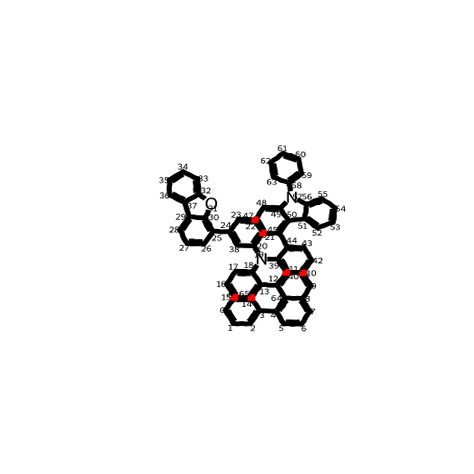 c1ccc(-c2cccc3cccc(-c4ccccc4N(c4cccc(-c5cccc6c5oc5ccccc56)c4)c4ccccc4-c4cccc5c4c4ccccc4n5-c4ccccc4)c23)cc1